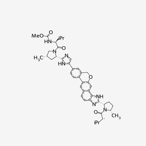 COC(=O)N[C@H](C(=O)N1C[C@@H](C)C[C@H]1c1ncc(-c2ccc3c(c2)COc2cc4c(ccc5nc([C@@H]6CC[C@H](C)N6C(=O)[CH]C(C)C)[nH]c54)cc2-3)[nH]1)C(C)C